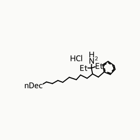 CCCCCCCCCCCCCCCCCCC(Cc1ccccc1)C(N)(CC)CC.Cl